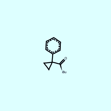 CC[C@H](C)C(=O)C1(c2ccccc2)CC1